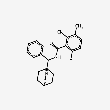 Cc1ccc(F)c(C(=O)NC(c2ccccc2)C23CCC(CC2)CN3)c1Cl